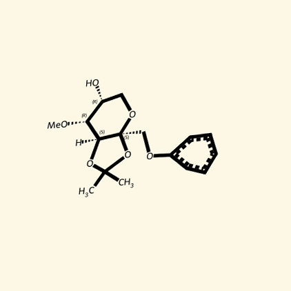 CO[C@@H]1[C@H](O)CO[C@@]2(COc3ccccc3)OC(C)(C)O[C@@H]12